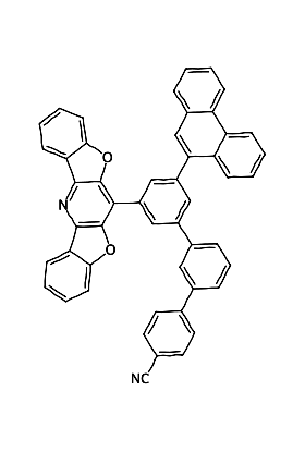 N#Cc1ccc(-c2cccc(-c3cc(-c4cc5ccccc5c5ccccc45)cc(-c4c5oc6ccccc6c5nc5c4oc4ccccc45)c3)c2)cc1